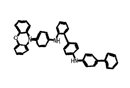 c1ccc(-c2ccc(Nc3ccc(-c4ccccc4Nc4ccc(N5c6ccccc6Oc6ccccc65)cc4)cc3)cc2)cc1